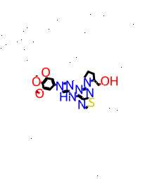 COc1cc(-n2cnc(Nc3nc(N4CCCC4CO)nc4scnc34)c2)cc(OC)c1OC